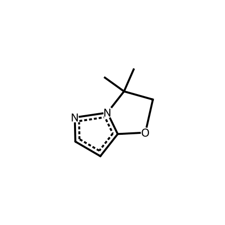 CC1(C)COc2ccnn21